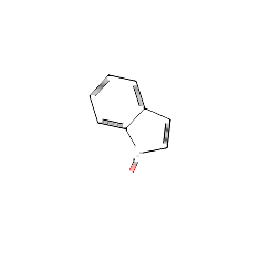 O=[Si]1C=Cc2ccccc21